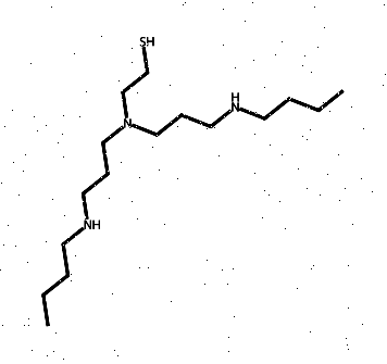 CCCCNCCCN(CCS)CCCNCCCC